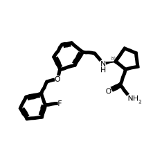 NC(=O)C1CCC[C@@H]1NCc1cccc(OCc2ccccc2F)c1